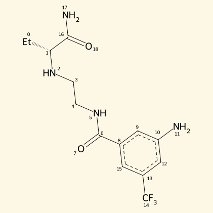 CC[C@@H](NCCNC(=O)c1cc(N)cc(C(F)(F)F)c1)C(N)=O